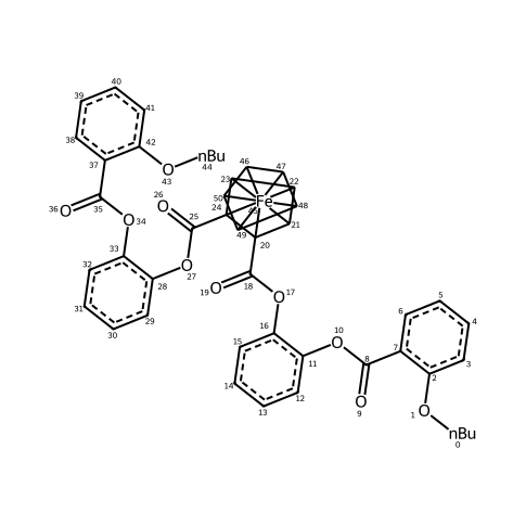 CCCCOc1ccccc1C(=O)Oc1ccccc1OC(=O)[C]12[CH]3[CH]4[CH]5[C]1(C(=O)Oc1ccccc1OC(=O)c1ccccc1OCCCC)[Fe]43521678[CH]2[CH]1[CH]6[CH]7[CH]28